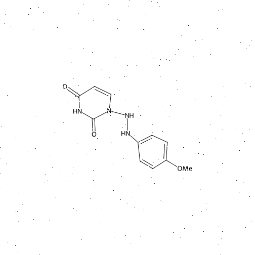 COc1ccc(NNn2ccc(=O)[nH]c2=O)cc1